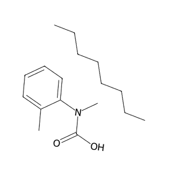 CCCCCCCC.Cc1ccccc1N(C)C(=O)O